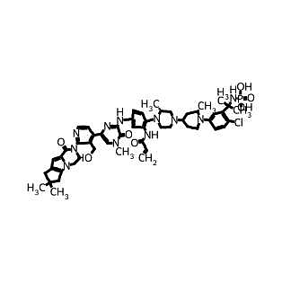 C=CC(=O)Nc1cc(Nc2nc(-c3ccnc(N4CCn5c(cc6c5CC(C)(C)C6)C4=O)c3CO)cn(C)c2=O)ccc1N1CCN(C2CCN(c3ccc(Cl)c(C(C)(C)NP(=O)(O)O)c3)[C@@H](C)C2)C[C@@H]1C